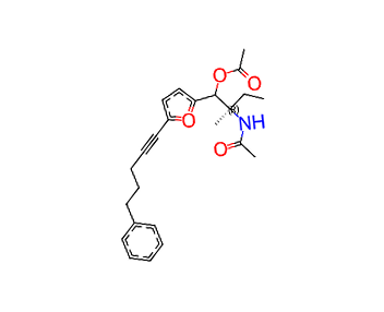 CC[C@@](C)(NC(C)=O)C(OC(C)=O)c1ccc(C#CCCCc2ccccc2)o1